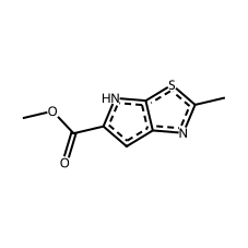 COC(=O)c1cc2nc(C)sc2[nH]1